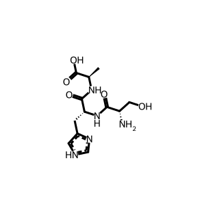 C[C@@H](NC(=O)[C@@H](Cc1c[nH]cn1)NC(=O)[C@@H](N)CO)C(=O)O